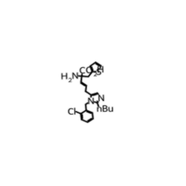 CCCCc1ncc(CC=CC(N)(Cc2cccs2)C(=O)O)n1Cc1ccccc1Cl